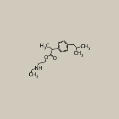 CCNCCOC(=O)C(C)c1ccc(CC(C)C)cc1